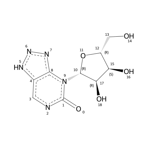 O=c1ncc2[nH]nnc2n1[C@@H]1O[C@H](CO)[C@@H](O)[C@H]1O